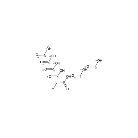 CCC(=O)O.O=CO.O=CO.O=CO.O=CO.O=CO.O=CO